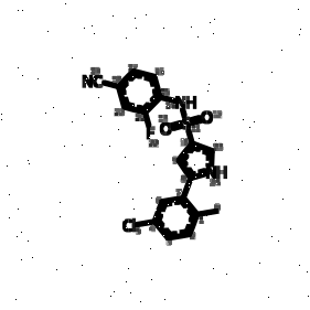 Cc1ccc(Cl)cc1-c1cc(S(=O)(=O)Nc2ccc(C#N)cc2F)c[nH]1